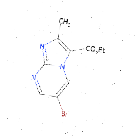 CCOC(=O)c1c(C)nc2ncc(Br)cn12